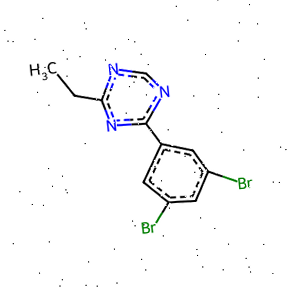 CCc1ncnc(-c2cc(Br)cc(Br)c2)n1